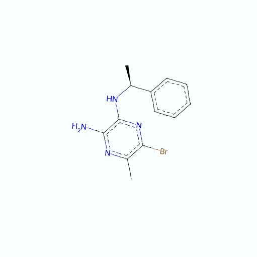 Cc1nc(N)c(N[C@@H](C)c2ccccc2)nc1Br